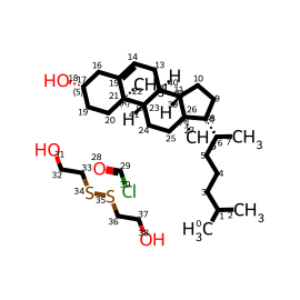 CC(C)CCCC(C)[C@H]1CC[C@H]2[C@@H]3CC=C4C[C@@H](O)CC[C@]4(C)[C@H]3CC[C@]12C.O=CCl.OCCSSCCO